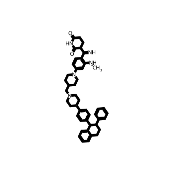 CNc1cc(N2CCC(CN3CCC(c4ccc(C5c6ccccc6CCC5c5ccccc5)cc4)CC3)CC2)ccc1C(=N)C1CCC(=O)NC1=O